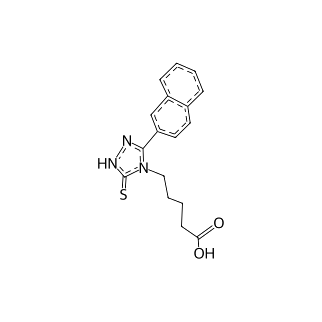 O=C(O)CCCCn1c(-c2ccc3ccccc3c2)n[nH]c1=S